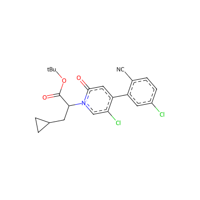 CC(C)(C)OC(=O)C(CC1CC1)n1cc(Cl)c(-c2cc(Cl)ccc2C#N)cc1=O